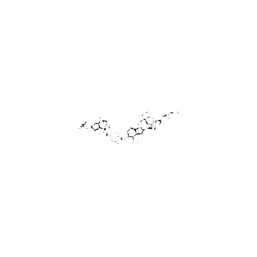 Cc1c(CN2CCC(Nc3ncnc4sc(CC(F)(F)F)cc34)CC2)ccc2c1cc(C#N)n2CC1(CCNC(=O)CNC=O)CCC1